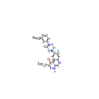 CCOC(=O)c1cn(C)c2cnc3cc(F)c(N4CCN(c5cccc(OC)c5)C(C)C4)cc3c2c1=O